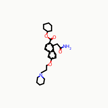 NC(=O)Cc1c(C(=O)OC2CCCCC2)ccc2cc(OCCCN3CCCCC3)ccc12